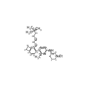 CCN1CCC[C@@H](Nc2nnc(-c3ccc4c(c3OCOCC[Si](C)(C)C)CC4)c(C)n2)C1